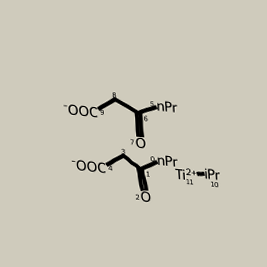 CCCC(=O)CC(=O)[O-].CCCC(=O)CC(=O)[O-].C[CH](C)[Ti+2]